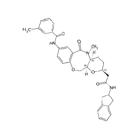 Cc1cccc(C(=O)Nc2ccc3c(c2)C(=O)N(C)[C@H]2CC[C@@H](CC(=O)NC4Cc5ccccc5C4)O[C@H]2CO3)c1